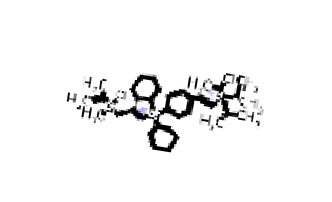 C=C(C)[Si](C)(C)C/C=C/[Si](C1CCCCC1)(C1CCCCC1)C1CCC(/C=C/[Si](C(C)C)(C(C)C)C(C)C)CC1